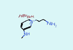 Br.Br.CNc1ccc[n+](CCCN)c1